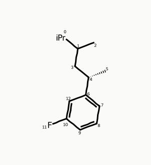 CC(C)C(C)C[C@H](C)c1cccc(F)c1